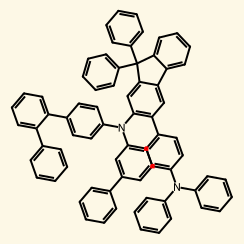 c1ccc(-c2cccc(N(c3ccc(-c4ccccc4-c4ccccc4)cc3)c3cc4c(cc3-c3ccc(N(c5ccccc5)c5ccccc5)cc3)-c3ccccc3C4(c3ccccc3)c3ccccc3)c2)cc1